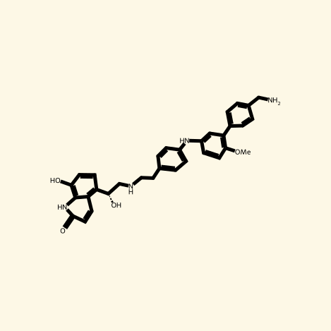 COc1ccc(Nc2ccc(CCNC[C@H](O)c3ccc(O)c4[nH]c(=O)ccc34)cc2)cc1-c1ccc(CN)cc1